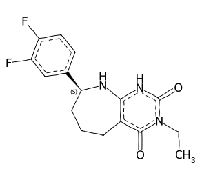 CCn1c(=O)[nH]c2c(c1=O)CCC[C@@H](c1ccc(F)c(F)c1)N2